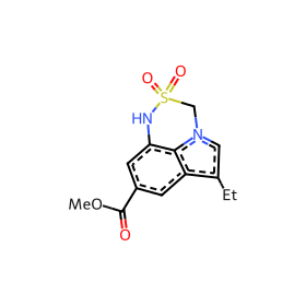 CCc1cn2c3c(cc(C(=O)OC)cc13)NS(=O)(=O)C2